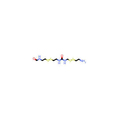 NCCSSCNC(=O)NCCSSCCNC=O